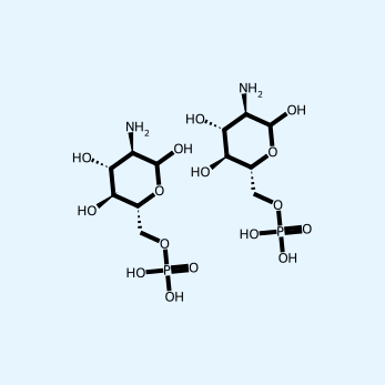 N[C@H]1C(O)O[C@H](COP(=O)(O)O)[C@@H](O)[C@@H]1O.N[C@H]1C(O)O[C@H](COP(=O)(O)O)[C@@H](O)[C@@H]1O